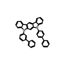 c1ccc(-c2ccc(-n3c4ccccc4c4cc5c6ccccc6n(-c6cccc(-c7ccccc7)c6)c5cc43)cc2)cc1